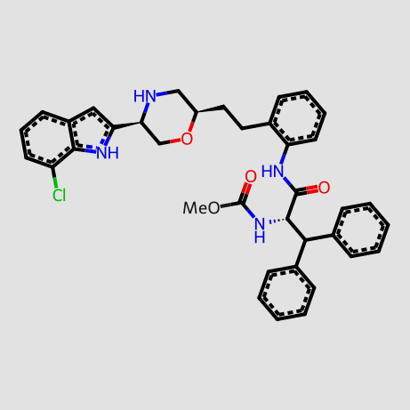 COC(=O)N[C@H](C(=O)Nc1ccccc1CC[C@@H]1CN[C@H](c2cc3cccc(Cl)c3[nH]2)CO1)C(c1ccccc1)c1ccccc1